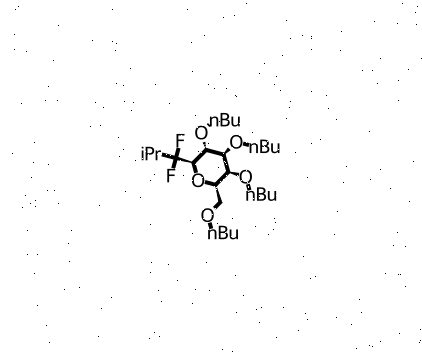 CCCCOC[C@H]1O[C@@H](C(F)(F)C(C)C)[C@H](OCCCC)[C@@H](OCCCC)[C@H]1OCCCC